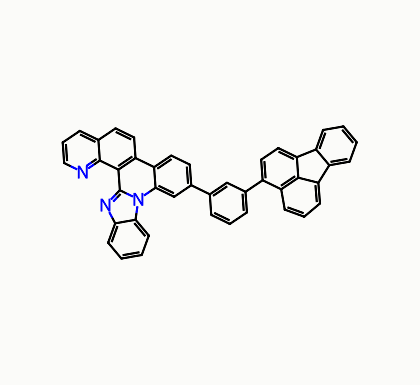 c1cc(-c2ccc3c4ccc5cccnc5c4c4nc5ccccc5n4c3c2)cc(-c2ccc3c4c(cccc24)-c2ccccc2-3)c1